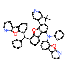 CC1(C)c2cnccc2-c2c1cc(N(c1ccccc1)c1cccc3c1oc1ncccc13)c1c2oc2c(C(c3ccccc3)c3cccc4c3oc3ncccc34)cccc21